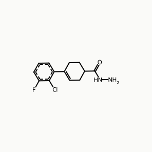 NNC(=O)C1CC=C(c2cccc(F)c2Cl)CC1